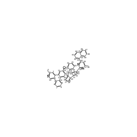 Cc1ccc(-c2ccccc2-c2ccc3c(c2)C2(c4ccccc4O3)c3ccccc3-c3ccc(-c4nc(C)cc(-c5cccc6ccccc56)n4)cc32)cn1